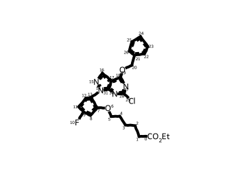 CCOC(=O)CCCCCOc1cc(F)ccc1-n1ncc2c(OCc3ccccc3)nc(Cl)nc21